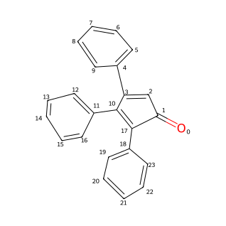 O=C1C=C(c2ccccc2)C(c2ccccc2)=C1c1ccccc1